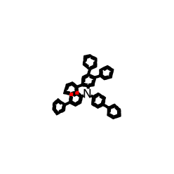 c1ccc(-c2ccc(N(c3ccc(-c4ccccc4)cc3)c3cc(-c4ccccc4)c(-c4ccccc4)cc3-c3ccccc3)cc2)cc1